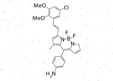 COc1cc(Cl)cc(/C=C/c2cc(C)c3n2[B-](F)(F)N2CC=CC2=C3c2ccc(N)cc2)c1OC